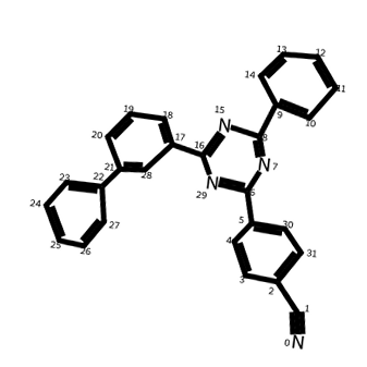 N#Cc1ccc(-c2nc(-c3ccccc3)nc(-c3cccc(-c4ccccc4)c3)n2)cc1